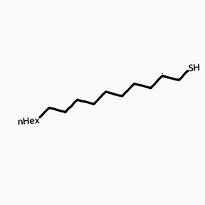 CCCCCCCCCCCCCC[CH]CS